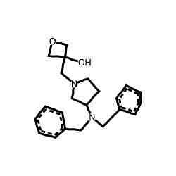 OC1(CN2CCC(N(Cc3ccccc3)Cc3ccccc3)C2)COC1